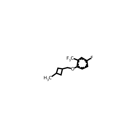 CC1CC(COc2ccc(F)cc2C(F)(F)F)C1